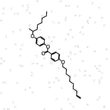 C=CCCCCCCCCOc1ccc(C(=O)Oc2ccc(OC(C)CCCCCC)cc2)cc1